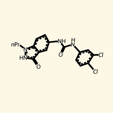 CCCn1[nH]c(=O)c2cc(NC(=O)Nc3ccc(Cl)c(Cl)c3)ccc21